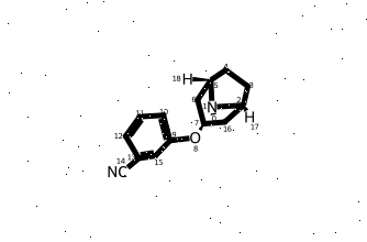 CN1[C@@H]2CC[C@H]1C[C@@H](Oc1cccc(C#N)c1)C2